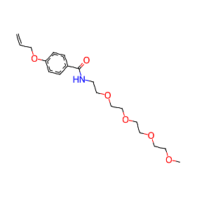 C=CCOc1ccc(C(=O)NCCOCCOCCOCCOC)cc1